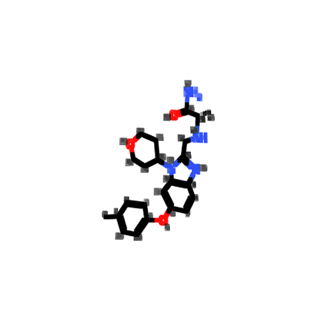 Cc1ccc(Oc2ccc3nc(CN[C@@H](C)C(N)=O)n(C4CCOCC4)c3c2)cc1